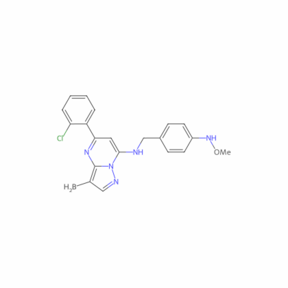 Bc1cnn2c(NCc3ccc(NOC)cc3)cc(-c3ccccc3Cl)nc12